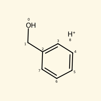 OCc1ccccc1.[H+]